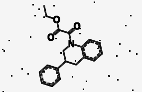 CCOC(=O)C(=O)N1CC(c2ccccc2)Cc2ccccc21